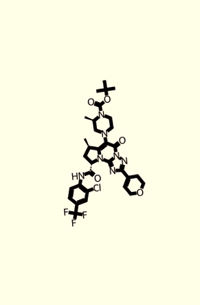 C[C@@H]1C[C@@H](C(=O)Nc2ccc(C(F)(F)F)cc2Cl)n2c1c(N1CCN(C(=O)OC(C)(C)C)[C@H](C)C1)c(=O)n1nc(C3=CCOCC3)nc21